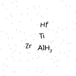 [AlH3].[Hf].[Ti].[Zr]